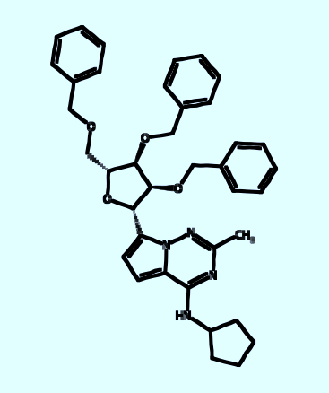 Cc1nc(NC2CCCC2)c2ccc([C@@H]3O[C@H](COCc4ccccc4)[C@@H](OCc4ccccc4)[C@H]3OCc3ccccc3)n2n1